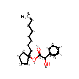 CCCCCCCCC1(OC(=O)C(O)c2ccccc2)CCCC1